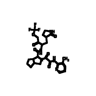 Cc1cccnc1NC(=O)C(=O)N1CC2CCCC2C1C(=O)NC(CC1CCNC1=O)C(=O)COC(F)(F)F